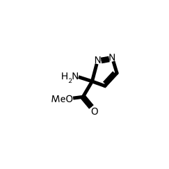 COC(=O)C1(N)C=CN=N1